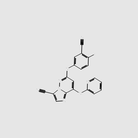 Cc1ccc(Nc2cc(Nc3ccccn3)c3ncc(C#N)n3n2)cc1C#N